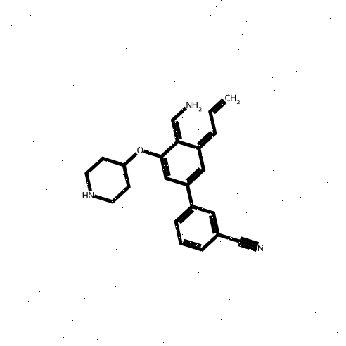 C=C/C=c1/cc(-c2cccc(C#N)c2)cc(OC2CCNCC2)/c1=C/N